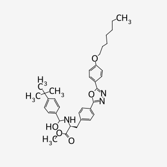 CCCCCCCOc1ccc(-c2nnc(-c3ccc(C[C@H](NC(O)c4ccc(C(C)(C)C)cc4)C(=O)OC)cc3)o2)cc1